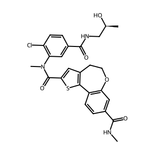 CNC(=O)c1ccc2c(c1)OCCc1cc(C(=O)N(C)c3cc(C(=O)NC[C@H](C)O)ccc3Cl)sc1-2